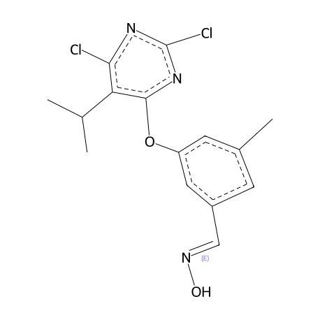 Cc1cc(/C=N/O)cc(Oc2nc(Cl)nc(Cl)c2C(C)C)c1